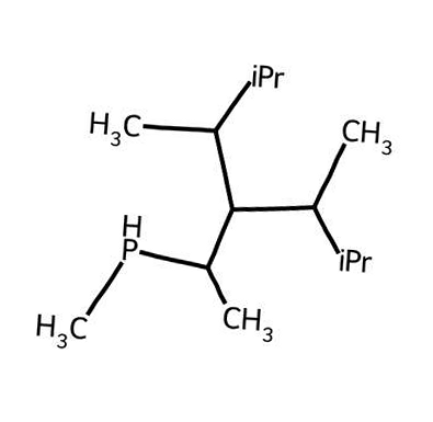 CPC(C)C(C(C)C(C)C)C(C)C(C)C